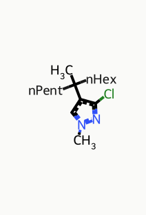 CCCCCCC(C)(CCCCC)c1cn(C)nc1Cl